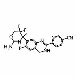 CC1(c2cc3c(cc2F)CNC(c2ccc(C#N)cn2)=N3)N=C(N)OCC1(F)F